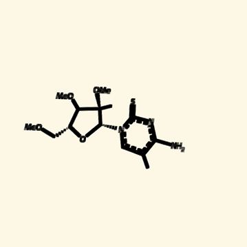 COC[C@H]1O[C@@H](n2cc(C)c(N)nc2=S)[C@](C)(OC)C1OC